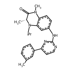 Cc1cccc(-c2ccnc(Nc3ccc4c(c3)N(C(C)C)[C@H](C)C(=O)N4C)n2)c1